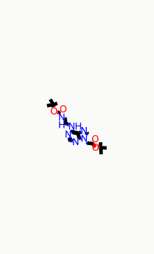 CC(C)(C)OC(=O)Cn1cnc2c(NCCNC(=O)OC(C)(C)C)ncnc21